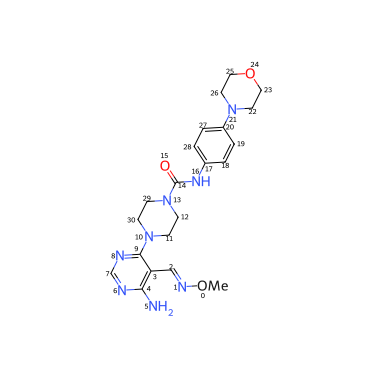 CO/N=C/c1c(N)ncnc1N1CCN(C(=O)Nc2ccc(N3CCOCC3)cc2)CC1